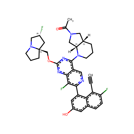 C#Cc1c(F)ccc2cc(O)cc(-c3ncc4c(N5CCC[C@H]6CN(C(C)=O)C[C@H]65)nc(OC[C@@]56CCCN5C[C@H](F)C6)nc4c3F)c12